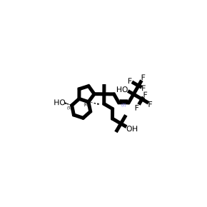 CC(C)(O)CCCC(C)(C/C=C\C(O)(C(F)(F)F)C(F)(F)F)C1CCC2[C@@H](O)CCC[C@@]21C